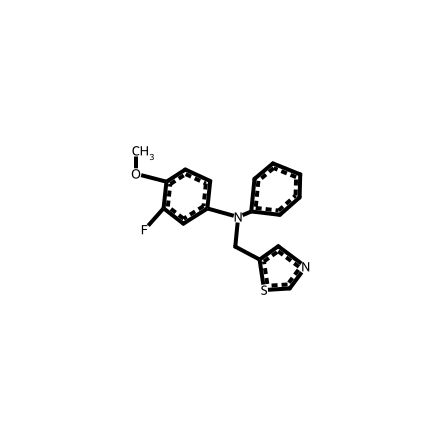 COc1ccc(N(Cc2cncs2)c2ccccc2)cc1F